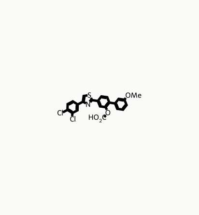 COc1cccc(-c2ccc(-c3nc(-c4ccc(Cl)c(Cl)c4)cs3)cc2OC(=O)O)c1